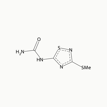 CSc1nsc(NC(N)=O)n1